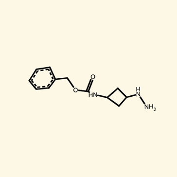 NNC1CC(NC(=O)OCc2ccccc2)C1